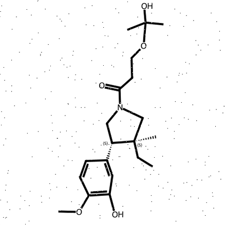 CC[C@]1(C)CN(C(=O)CCOC(C)(C)O)C[C@H]1c1ccc(OC)c(O)c1